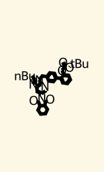 CCCCc1nc2cc(N3C(=O)C4CCCCC4C3=O)cnc2n1Cc1ccc(-c2ccccc2OC(=O)OC(C)(C)C)cc1